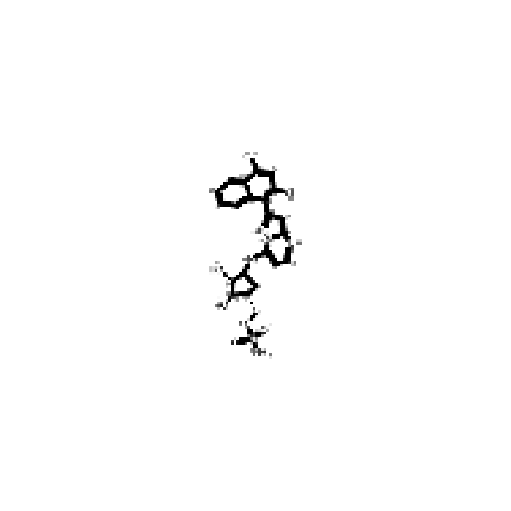 NS(=O)(=O)OC[C@H]1CC(Nc2ccnc3cc(-c4c(Cl)cc(Cl)c5ccccc45)nn23)[C@H](O)[C@@H]1O